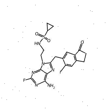 Nc1nc(F)nc2c1nc(Cc1cc3c(cc1I)CCC3=O)n2CCNS(=O)(=O)C1CC1